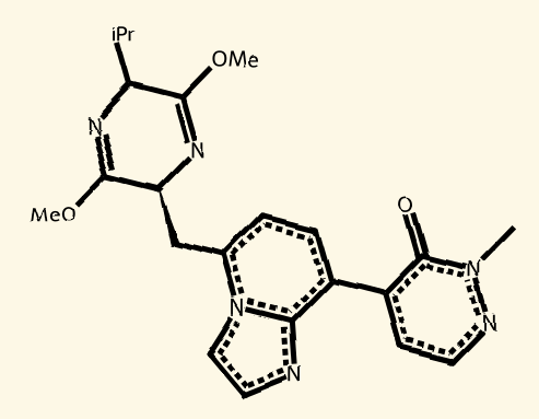 COC1=N[C@@H](Cc2ccc(-c3ccnn(C)c3=O)c3nccn23)C(OC)=NC1C(C)C